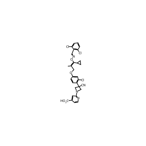 C/C(COc1ccc(C2(C#N)CN(c3cc(C(=O)O)ccn3)C2)c(Cl)c1)=C(\O/N=C/c1c(Cl)cccc1Cl)C1CC1